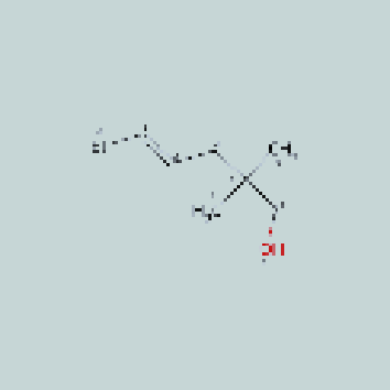 CC/C=C/CC(C)(C)CO